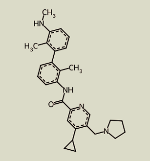 CNc1cccc(-c2cccc(NC(=O)c3cc(C4CC4)c(CN4CCCC4)cn3)c2C)c1C